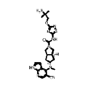 CN(c1c(C#N)cnc2[nH]ccc12)[C@@H]1CC2CN(C(=O)Nc3nc(OCC(C)(C)N)ns3)C[C@H]2C1